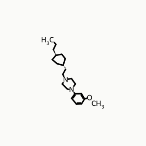 CCC[C@H]1CC[C@H](CCN2CCN(c3cccc(OC)c3)CC2)CC1